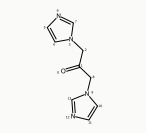 O=C(Cn1ccnc1)Cn1ccnc1